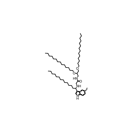 CCCCCCCCCCCCCCOCC(CNC(=O)CNC(CCCCCCCCCCCCC)c1c[nH]c2ccc(F)cc12)OCCCCCCCCCCCCCC